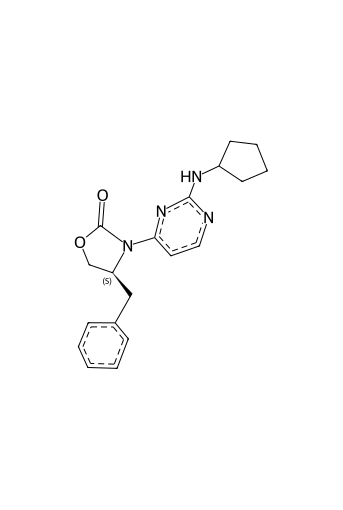 O=C1OC[C@H](Cc2ccccc2)N1c1ccnc(NC2CCCC2)n1